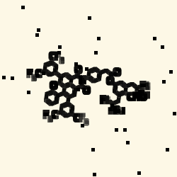 CCCCC(CC)Cc1cc(OC(=O)Cc2ccc(-n3c(=O)c4cc(-c5cc(C(F)(F)F)cc(C(F)(F)F)c5)c5oc6ccccc6c6c(-c7cc(C(F)(F)F)cc(C(F)(F)F)c7)cc(c3=O)c4c56)cc2)cc(CC(CC)CCCC)c1C=O